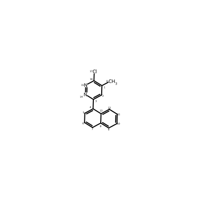 Cc1cc(-c2cccc3ccccc23)nnc1Cl